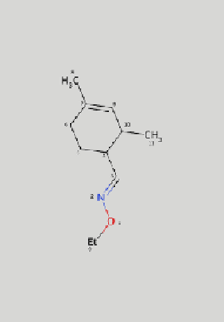 CCON=CC1CCC(C)=CC1C